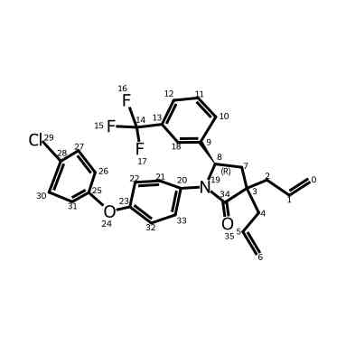 C=CCC1(CC=C)C[C@H](c2cccc(C(F)(F)F)c2)N(c2ccc(Oc3ccc(Cl)cc3)cc2)C1=O